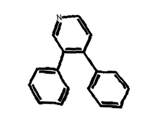 [c]1ccccc1-c1ccncc1-c1ccccc1